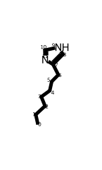 CCCCCCCc1c[nH]cn1